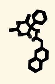 O=C(Cc1ccc2ccccc2c1)NC1(c2ccccc2)C(=O)NC(=O)NC1=O